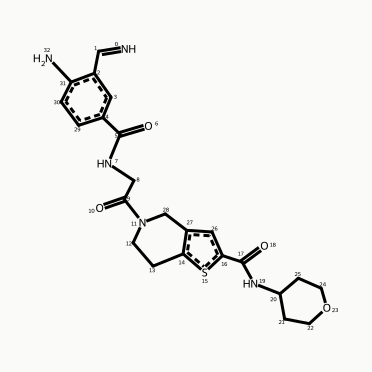 N=Cc1cc(C(=O)NCC(=O)N2CCc3sc(C(=O)NC4CCOCC4)cc3C2)ccc1N